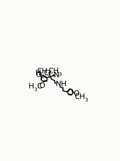 COc1ccc(CCCNCCCC(C#N)(c2cc(OC)cc(OC)c2)C(C)C)cc1